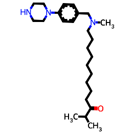 CC(C)C(=O)CCCCCCCCCN(C)Cc1ccc(N2CCNCC2)cc1